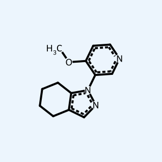 COc1ccncc1-n1ncc2c1CCCC2